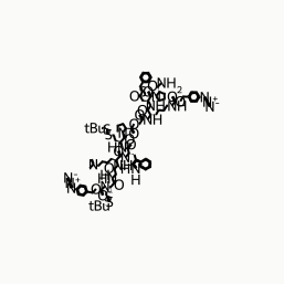 CN(C)CCCC[C@H](NC(=O)CNC(=O)[C@H](CSSC(C)(C)C)NC(=O)OCc1ccc(N=[N+]=[N-])cc1)C(=O)N[C@@H](Cc1c[nH]c2ccccc12)C(=O)N[C@@H](CCSSC(C)(C)C)C(=O)N1CCC[C@H]1C(=O)OCC(=O)N[C@@H](CCCCNC(=O)OCc1ccc(N=[N+]=[N-])cc1)C(=O)N[C@@H](CC(=O)SCc1ccccc1)C(=O)N1CCC[C@H]1C(N)=O